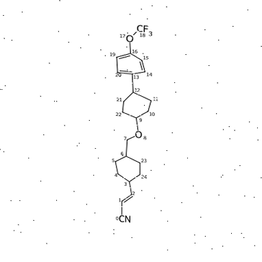 N#CC=CC1CCC(COC2CCC(c3ccc(OC(F)(F)F)cc3)CC2)CC1